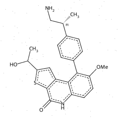 COc1ccc2[nH]c(=O)c3sc(C(C)O)cc3c2c1-c1ccc([C@@H](C)CN)cc1